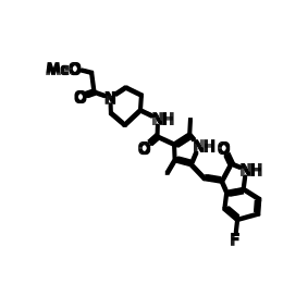 COCC(=O)N1CCC(NC(=O)c2c(C)[nH]c(/C=C3\C(=O)Nc4ccc(F)cc43)c2C)CC1